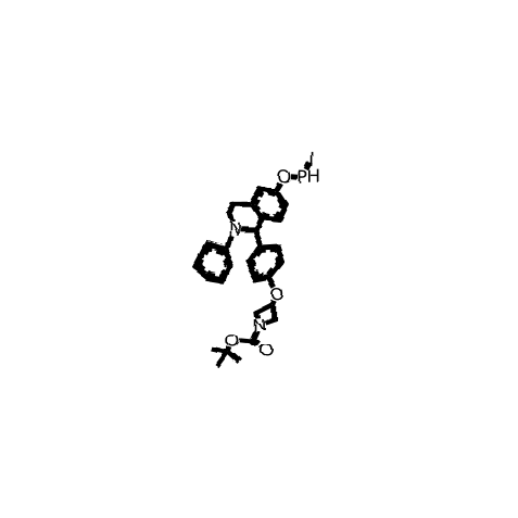 CC(C)(C)OC(=O)N1CC(Oc2ccc(C3c4ccc(OPI)cc4CCN3c3ccccc3)cc2)C1